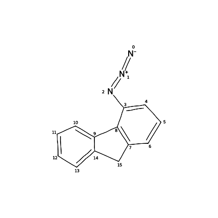 [N-]=[N+]=Nc1cccc2c1-c1ccccc1C2